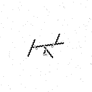 CCCCCCCCC(CCCCCC)COC(=O)CCCCCN(CCCCCC(=O)OCC(CCCCCC)CCCCCCCC)CCN(CCCO)CCCCCCCC